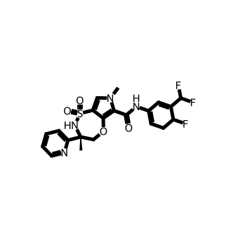 Cn1cc2c(c1C(=O)NC1=CCC(F)C(C(F)F)=C1)OC[C@](C)(c1ccccn1)NS2(=O)=O